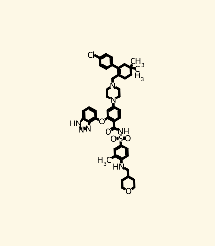 Cc1cc(S(=O)(=O)NC(=O)c2ccc(N3CCN(CC4=C(c5ccc(Cl)cc5)CC(C)(C)CC4)CC3)cc2Oc2cccc3[nH]nnc23)ccc1NCC1CCOCC1